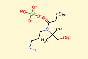 CCCCCCCCCCCC(=O)N(CCCN)C(C)(C)CO.[O-][Cl+3]([O-])([O-])O